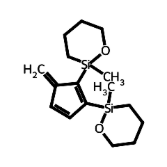 C=C1C=CC([Si]2(C)CCCCO2)=C1[Si]1(C)CCCCO1